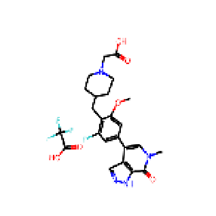 COc1cc(-c2cn(C)c(=O)c3[nH]ncc23)cc(F)c1CC1CCN(CC(=O)O)CC1.O=C(O)C(F)(F)F